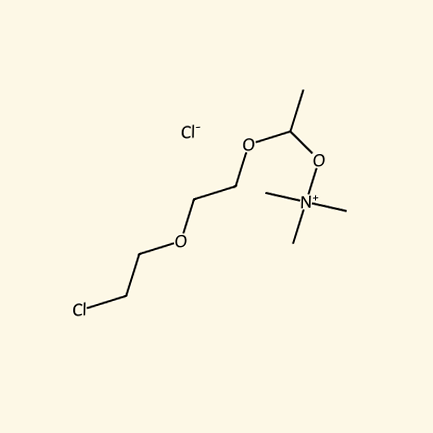 CC(OCCOCCCl)O[N+](C)(C)C.[Cl-]